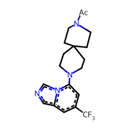 CC(=O)N1CCC2(CC1)CCN(c1cc(C(F)(F)F)cc3cncn13)CC2